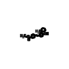 CCOC(=O)c1ccc(C=Cc2ccc(O)c(C3(C)CCCCC3)c2)cc1